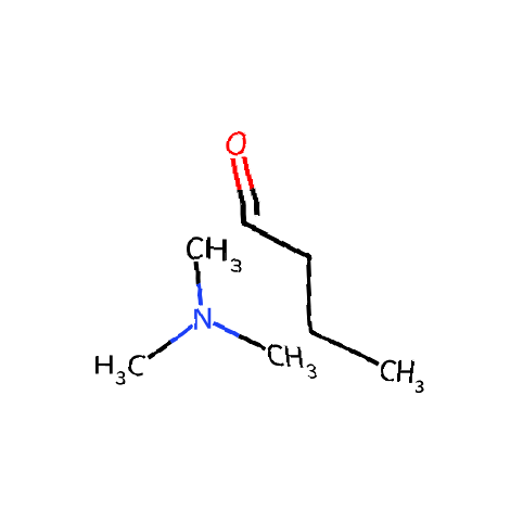 CCCC=O.CN(C)C